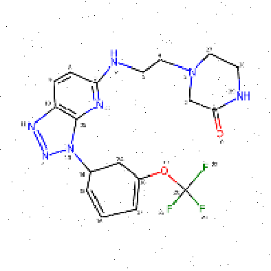 O=C1CN(CCNc2ccc3nnn(C4C=CC=C(OC(F)(F)F)C4)c3n2)CCN1